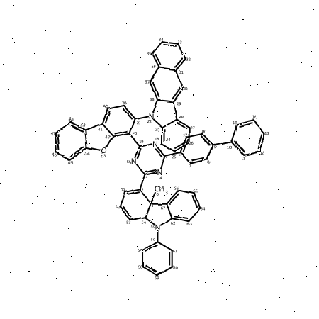 CC12C(c3nc(-c4ccc(-c5ccccc5)cc4)nc(-c4c(-n5c6ccccc6c6cc7ccccc7cc65)ccc5c4oc4ccccc45)n3)=CC=CC1N(c1ccccc1)c1ccccc12